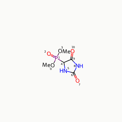 COP(=O)(OC)C1NC(=O)NC1=O